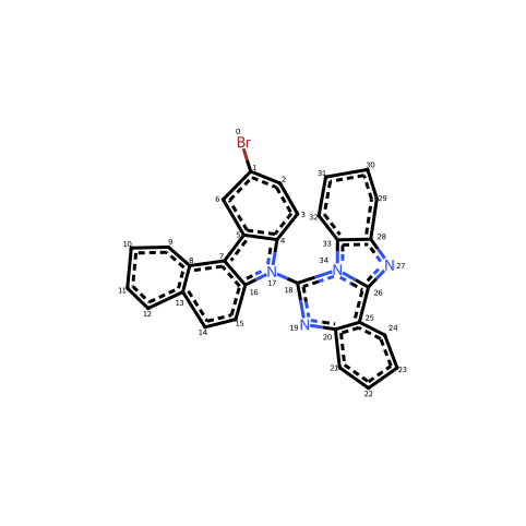 Brc1ccc2c(c1)c1c3ccccc3ccc1n2-c1nc2ccccc2c2nc3ccccc3n12